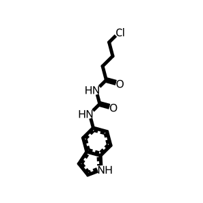 O=C(CCCCl)NC(=O)Nc1ccc2[nH]ccc2c1